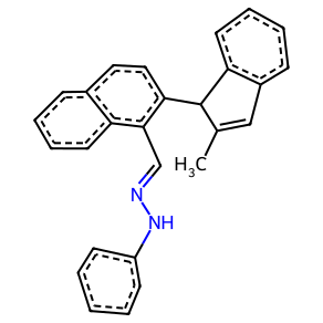 CC1=Cc2ccccc2C1c1ccc2ccccc2c1C=NNc1ccccc1